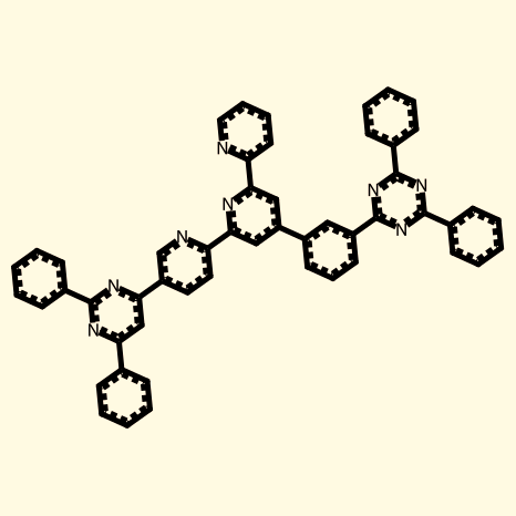 c1ccc(-c2cc(-c3ccc(-c4cc(-c5cccc(-c6nc(-c7ccccc7)nc(-c7ccccc7)n6)c5)cc(-c5ccccn5)n4)nc3)nc(-c3ccccc3)n2)cc1